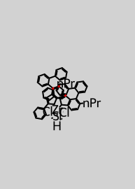 CCCc1ccc2c(c1-c1ccccc1-c1ccccc1)C=C(c1ccccc1)[CH]2[Zr]([Cl])([Cl])([CH]1C(c2ccccc2)=Cc2c1ccc(CCC)c2-c1ccccc1-c1ccccc1)[SiH](C)C